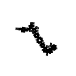 C#Cc1ccc(CNC(=O)[C@@H]2C[C@@H](O)CN2C(=O)[C@@H](NC(=O)N2CCC(N3CCCN(c4cnc(N5CCc6[nH]c7nnc(-c8ccccc8O)cc7c6C5C)nc4)CCC3)CC2)C(C)(C)C)cc1